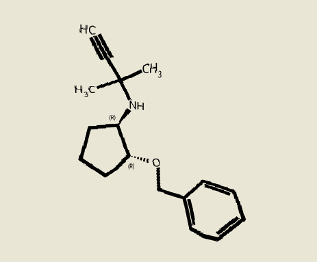 C#CC(C)(C)N[C@@H]1CCC[C@H]1OCc1ccccc1